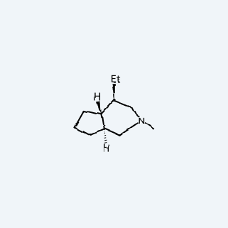 CC[C@H]1CN(C)C[C@H]2CCC[C@@H]21